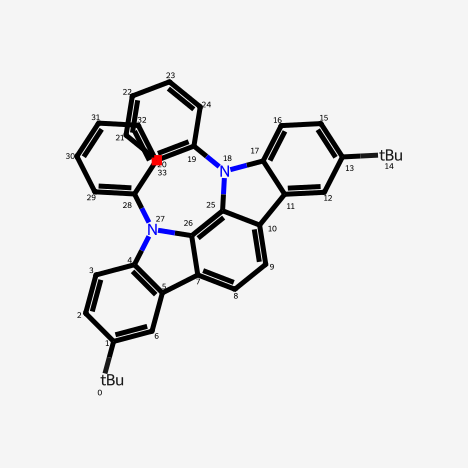 CC(C)(C)c1ccc2c(c1)c1ccc3c4cc(C(C)(C)C)ccc4n(-c4ccccc4)c3c1n2-c1ccccc1